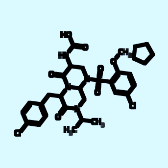 C1CCCC1.COc1ccc(Cl)cc1S(=O)(=O)N1CC(NC(=O)O)C(=O)N2C(Cc3ccc(Cl)cc3)C(=O)N(C(C)C)CC21